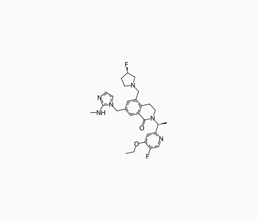 CCOc1cc([C@H](C)N2CCc3c(CN4CC[C@@H](F)C4)cc(Cn4ccnc4NC)cc3C2=O)ncc1F